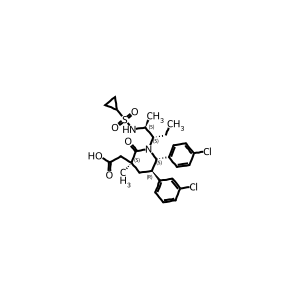 CC[C@@H]([C@H](C)NS(=O)(=O)C1CC1)N1C(=O)[C@](C)(CC(=O)O)C[C@H](c2cccc(Cl)c2)[C@H]1c1ccc(Cl)cc1